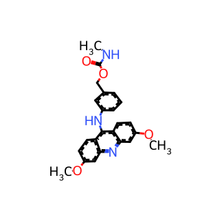 CNC(=O)OCc1cccc(Nc2c3ccc(OC)cc3nc3cc(OC)ccc23)c1